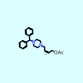 CC(=O)OC/C=C\CN1CCN(C(c2ccccc2)c2ccccc2)CC1